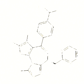 Cc1sc2c(c1C)C(c1ccc(C(C)C)cc1)=N[C@@H](Cc1ncccn1)c1nnc(C)n1-2